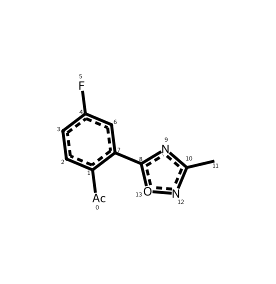 CC(=O)c1ccc(F)cc1-c1nc(C)no1